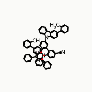 Cc1ccccc1-c1ccc2c(c1)c1ccccc1n2-c1ccc(-c2nc(-c3ccccc3)nc(-c3ccccc3)n2)c(-c2cc(C#N)ccc2-n2c3ccccc3c3cc(-c4ccccc4C)ccc32)c1